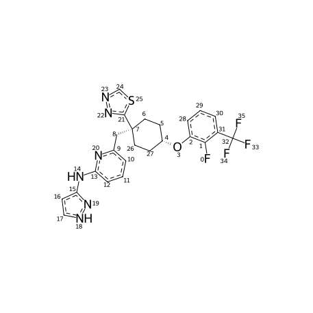 Fc1c(O[C@H]2CC[C@](Cc3cccc(Nc4cc[nH]n4)n3)(c3nncs3)CC2)cccc1C(F)(F)F